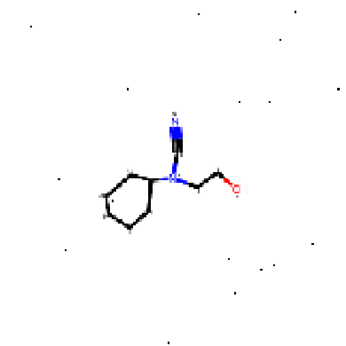 N#CN(CCO)C1CCCCC1